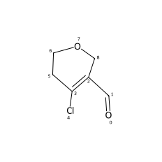 O=CC1=C(Cl)CCOC1